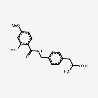 COc1ccc(C(=O)NCc2ccc(C[C@H](N)C(=O)O)cc2)c(OC)c1